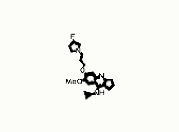 COc1cc2c(NC3CC3)c3c(nc2cc1OCCCN1CC[C@@H](F)C1)CCC3